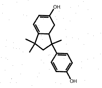 CC1(C)CC(C)(c2ccc(O)cc2)C2CC(O)=CC=C21